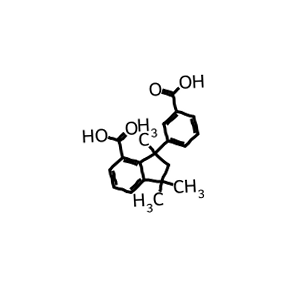 CC1(C)CC(C)(c2cccc(C(=O)O)c2)c2c(C(=O)O)cccc21